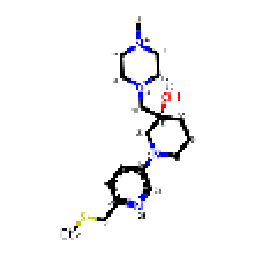 CCSCc1ccc(N2CCC[C@@](O)(CN3CCN(C)CC3)C2)cn1